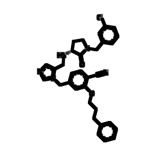 N#Cc1ccc(Cn2cncc2CN[C@@H]2CCN(Cc3cccc(Cl)c3)C2=O)cc1OCCCc1ccccc1